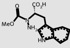 COC(=O)N(N)[C@@H](Cc1c[nH]c2ccccc12)C(=O)O